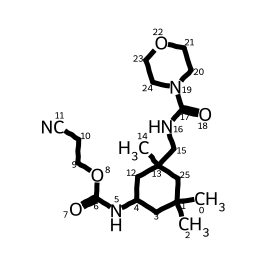 CC1(C)CC(NC(=O)OCCC#N)CC(C)(CNC(=O)N2CCOCC2)C1